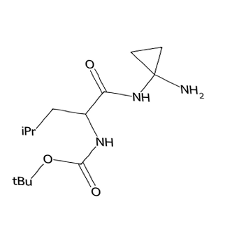 CC(C)CC(NC(=O)OC(C)(C)C)C(=O)NC1(N)CC1